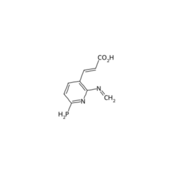 C=Nc1nc(P)ccc1/C=C/C(=O)O